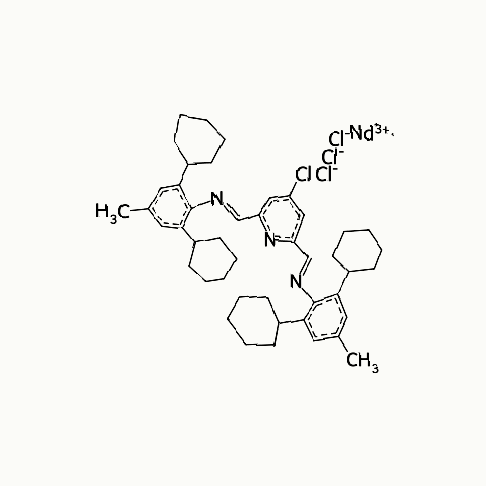 Cc1cc(C2CCCCC2)c(N=Cc2cc(Cl)cc(C=Nc3c(C4CCCCC4)cc(C)cc3C3CCCCC3)n2)c(C2CCCCC2)c1.[Cl-].[Cl-].[Cl-].[Nd+3]